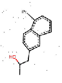 CC(O)Cc1ccc2c(C(C)C)cccc2c1